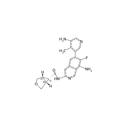 Cc1c(N)cncc1-c1cc2cc(NC(=O)[C@@H]3[C@@H]4COC[C@@H]43)ncc2c(N)c1F